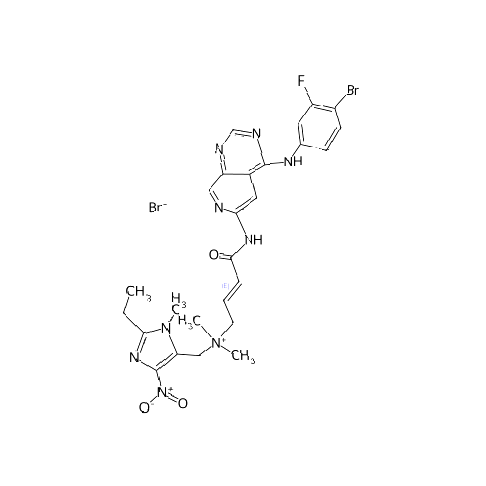 CCc1nc([N+](=O)[O-])c(C[N+](C)(C)C/C=C/C(=O)Nc2cc3c(Nc4ccc(Br)c(F)c4)ncnc3cn2)n1C.[Br-]